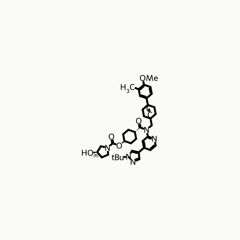 COc1ccc(C23CCC(CN(c4cc(-c5cnn(C(C)(C)C)c5)ccn4)C(=O)[C@H]4CC[C@H](OC(=O)N5CC[C@@H](O)C5)CC4)(CC2)CC3)cc1C